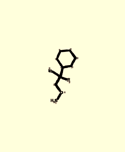 CCC(CC)(CO[SiH3])C1CCCCC1